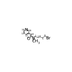 CN(CCCCCBr)C(=O)Cc1cccnc1